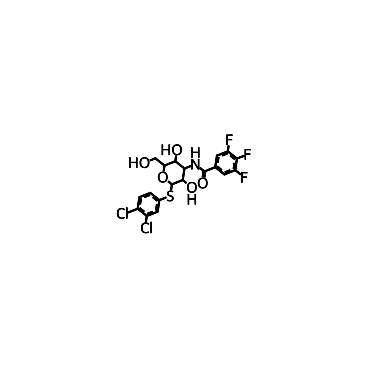 O=C(NC1C(O)C(CO)OC(Sc2ccc(Cl)c(Cl)c2)C1O)c1cc(F)c(F)c(F)c1